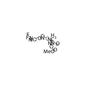 COC(=O)c1ccc2nc([C@H](C)N3CCC(c4cccc(OCc5ccc6cnn(CC(F)F)c6c5)n4)CC3)n(CC3CCO3)c2c1